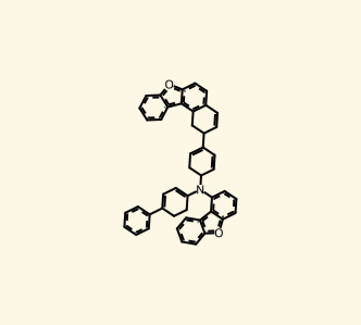 C1=CC(N(C2=CC=C(c3ccccc3)CC2)c2cccc3oc4ccccc4c23)CC=C1C1C=Cc2ccc3oc4ccccc4c3c2C1